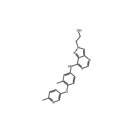 Cc1ccc(Oc2ccc(Nc3ncnc4cn(CCO)nc34)cc2C)cn1